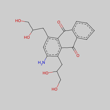 Nc1cc(CC(O)CO)c2c(c1CC(O)CO)C(=O)c1ccccc1C2=O